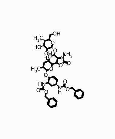 CC1C[C@@H]2OC(O[C@H]3OC(CO)[C@@H](C)[C@H](O)C3O)C3C(OC(=O)N3C)C2O[C@@H]1O[C@H]1C=C[C@H](NC(=O)OCc2ccccc2)CC1NC(=O)OCc1ccccc1